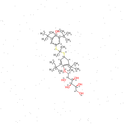 CC(C)(Sc1cc(C(C)(C)C)c(O)c(C(C)(C)C)c1)SC1C=C(C(C)(C)C)C(OC[C@@H](O)[C@@H](O)[C@H](O)[C@@H](O)CO)=C(C(C)(C)C)C1